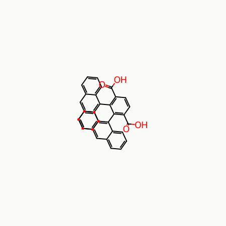 O=C(O)c1ccc(C(=O)O)c(-c2c3ccccc3cc3ccccc23)c1-c1c2ccccc2cc2ccccc12